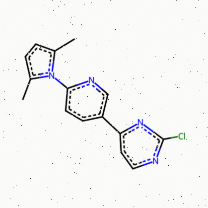 Cc1ccc(C)n1-c1ccc(-c2ccnc(Cl)n2)cn1